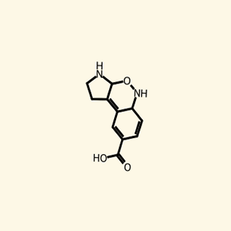 O=C(O)C1=CC2=C3CCNC3ONC2C=C1